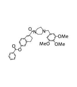 COc1cc(CN2CCN(C(=O)C3=Cc4ccc(OC(=O)c5ccccc5)cc4CC3)CC2)cc(OC)c1OC